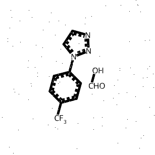 FC(F)(F)c1ccc(-n2ccnn2)cc1.O=CO